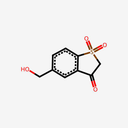 O=C1CS(=O)(=O)c2ccc(CO)cc21